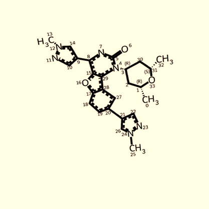 C[C@@H]1C[C@H](n2c(=O)nc(-c3cnn(C)c3)c3oc4ccc(-c5cnn(C)c5)cc4c32)C[C@H](C)O1